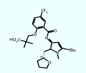 CN1C(C(C)(C)C)=CC(=NC(=O)c2cc(C(F)(F)F)ccc2OCC(C)(C)C(=O)O)C1C[C@H]1CCCO1